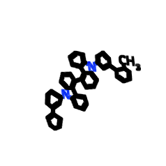 CC1C=CC=CC1c1cccc(-n2c3ccccc3c3c(-c4cccc5c4c4ccccc4n5-c4cccc(C5=CCCC=C5)c4)cccc32)c1